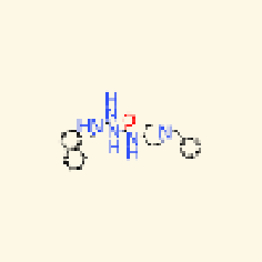 N=C(NCc1cccc2ccccc12)NC(=O)NC1CCN(Cc2ccccc2)CC1